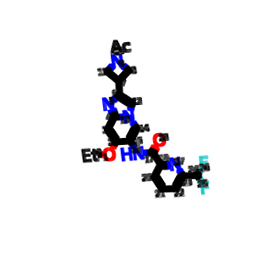 CCOc1cc2nc(C3CN(C(C)=O)C3)cn2cc1NC(=O)c1cccc(C(F)F)n1